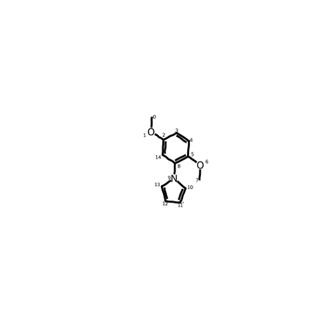 COc1ccc(OC)c(-n2c[c]cc2)c1